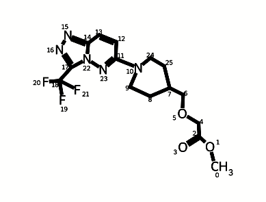 COC(=O)COCC1CCN(c2ccc3nnc(C(F)(F)F)n3n2)CC1